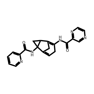 O=C(NC1=C2CC(=CC1)C1(NC(=O)c3ccccn3)CC21)c1cnccn1